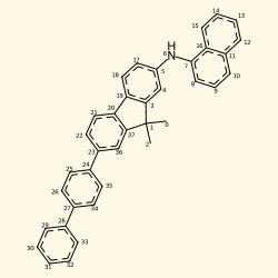 CC1(C)c2cc(Nc3cccc4ccccc34)ccc2-c2ccc(-c3ccc(-c4ccccc4)cc3)cc21